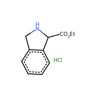 CCOC(=O)C1NCc2ccccc21.Cl